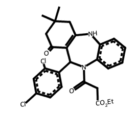 CCOC(=O)CC(=O)N1c2ccccc2NC2=C(C(=O)CC(C)(C)C2)C1c1ccc(Cl)cc1Cl